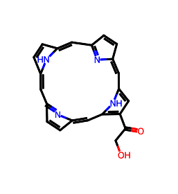 O=C(CO)c1cc2cc3nc(cc4ccc(cc5nc(cc1[nH]2)C=C5)[nH]4)C=C3